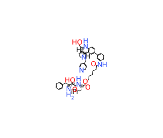 CC(C)C[C@H](NC(=O)[C@@H](O)[C@H](N)Cc1ccccc1)C(=O)OCCCCCC(=O)Nc1cccc(-c2ccc3c(c2)[C@H]2[C@H](CCN2Cc2ccncc2)[C@@H](CO)N3)c1